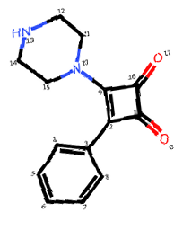 O=c1c(-c2ccccc2)c(N2CCNCC2)c1=O